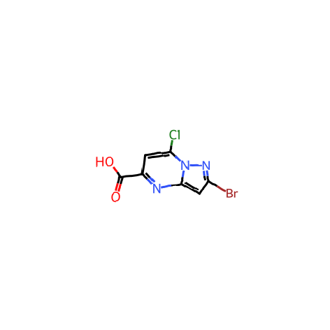 O=C(O)c1cc(Cl)n2nc(Br)cc2n1